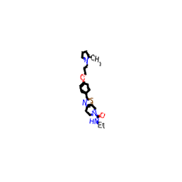 CCNC(=O)N1CCc2nc(-c3ccc(OCCCN4CCC[C@H]4C)cc3)sc2C1